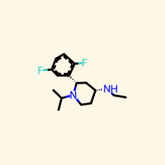 CCN[C@@H]1CCN(C(C)C)[C@H](c2cc(F)ccc2F)C1